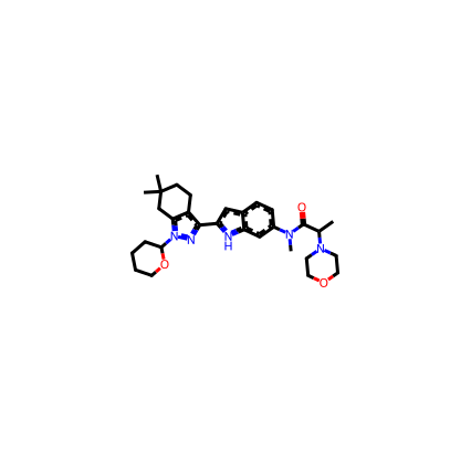 CC(C(=O)N(C)c1ccc2cc(-c3nn(C4CCCCO4)c4c3CCC(C)(C)C4)[nH]c2c1)N1CCOCC1